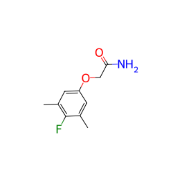 Cc1cc(OCC(N)=O)cc(C)c1F